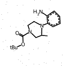 CC1CN(C(=O)OC(C)(C)C)CCN1c1ccccc1N